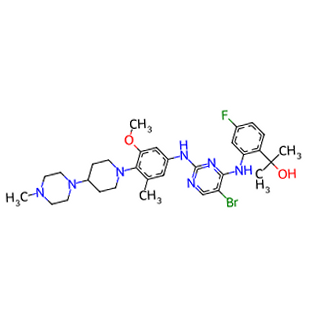 COc1cc(Nc2ncc(Br)c(Nc3cc(F)ccc3C(C)(C)O)n2)cc(C)c1N1CCC(N2CCN(C)CC2)CC1